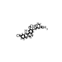 COc1cc2c(Nc3cc(Cl)ccc3F)ncnc2cc1OCC1CN(C)CCO1